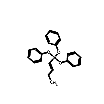 CCC=C[Si](Oc1ccccc1)(Oc1ccccc1)Oc1ccccc1